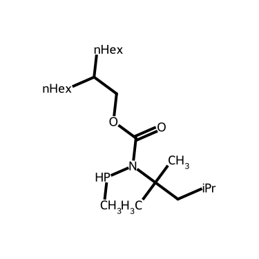 CCCCCCC(CCCCCC)COC(=O)N(PC)C(C)(C)CC(C)C